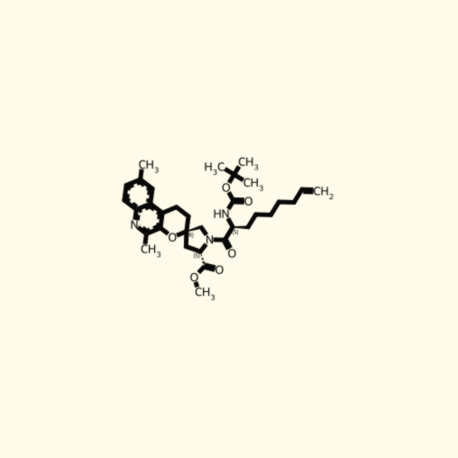 C=CCCCCC[C@H](NC(=O)OC(C)(C)C)C(=O)N1C[C@@]2(CCc3c(c(C)nc4ccc(C)cc34)O2)C[C@H]1C(=O)OC